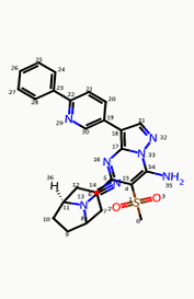 CS(=O)(=O)c1c([C@H]2CC3CC[C@@H](C2)N3C#N)nc2c(-c3ccc(-c4ccccc4)nc3)cnn2c1N